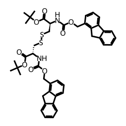 CC(C)(C)OC(=O)[C@H](CSSC[C@H](NC(=O)OCc1cccc2c1Cc1ccccc1-2)C(=O)OC(C)(C)C)NC(=O)OCc1cccc2c1Cc1ccccc1-2